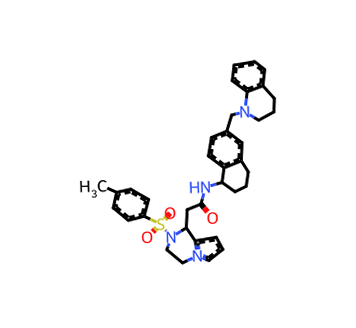 Cc1ccc(S(=O)(=O)N2CCn3cccc3C2CC(=O)NC2CCCc3cc(CN4CCCc5ccccc54)ccc32)cc1